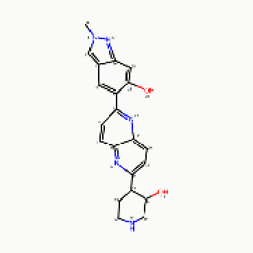 Cn1cc2cc(-c3ccc4nc(C5CCNCC5O)ccc4n3)c(O)cc2n1